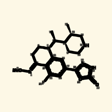 CO/N=C1\CCN([C@@H](C)[C@H]2CCNC[C@H]2C)c2cc(-c3n[nH]c(=O)o3)cc(F)c21